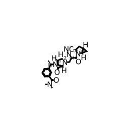 C[C@H](c1cccc(C(=O)N(C)C)c1)N1C(=O)[C@@H]2C[C@H]1CN2C[C@H](N)C(=O)N1[C@H](C#N)C[C@@H]2C[C@@H]21